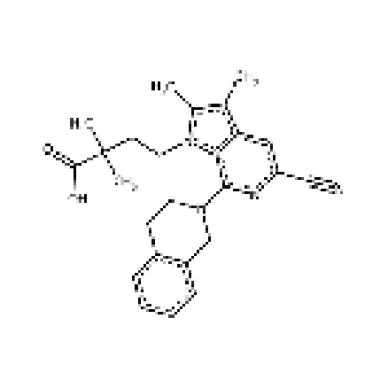 Cc1c(C)n(CCC(C)(C)C(=O)O)c2c(N3CCc4ccccc4C3)nc(C#N)cc12